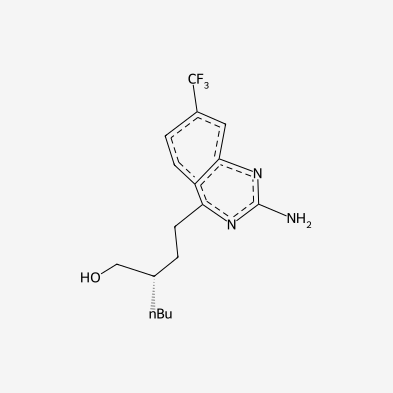 CCCC[C@H](CO)CCc1nc(N)nc2cc(C(F)(F)F)ccc12